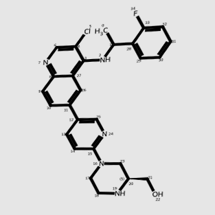 CC(Nc1c(Cl)cnc2ccc(-c3ccc(N4CCN[C@H](CO)C4)nc3)cc12)c1ccccc1F